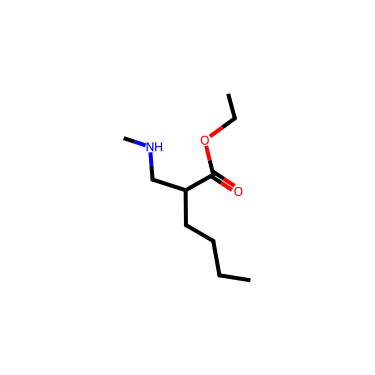 CCCCC(CNC)C(=O)OCC